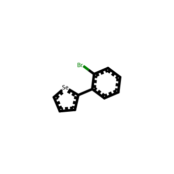 Brc1ccccc1-c1ccc[se]1